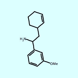 COc1cccc(C(N)CC2C=CCCC2)c1